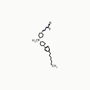 C=C([C@H]1CC[C@H](/C=C/C=C(\F)C#N)CC1)[C@H]1CC[C@H](c2ccc(CCCCCCC)cc2)CC1